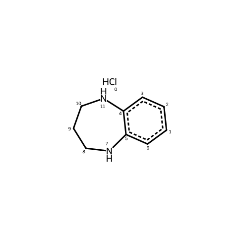 Cl.c1ccc2c(c1)NCCCN2